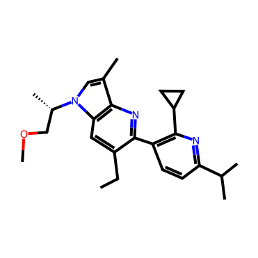 CCc1cc2c(nc1-c1ccc(C(C)C)nc1C1CC1)c(C)cn2[C@@H](C)COC